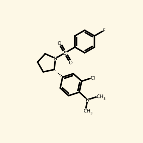 CN(C)c1ccc([C@@H]2CCCN2S(=O)(=O)c2ccc(F)cc2)cc1Cl